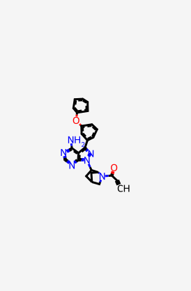 C#CC(=O)N1CC2CC1C(n1nc(-c3cccc(Oc4ccccc4)c3)c3c(N)ncnc31)C2